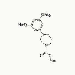 COc1cc(OC)cc(N2CCCN(C(=O)OC(C)(C)C)CC2)c1